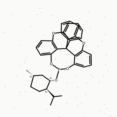 CC(C)[C@H]1CC[C@H](C)C[C@@H]1OP1Oc2cccc3c2C2(c4ccccc4O3)c3ccccc3Oc3cccc(c32)O1